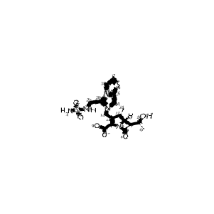 C[C@@H](O)[C@H]1C(=O)N2C(C(=O)[O-])=C(Cn3cc4scc[n+]4c3CNS(N)(=O)=O)[C@H](C)[C@H]12